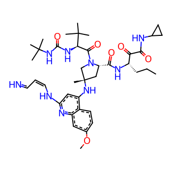 CCC[C@H](NC(=O)[C@@H]1C[C@](C)(Nc2cc(N/C=C\C=N)nc3cc(OC)ccc23)CN1C(=O)[C@@H](NC(=O)NC(C)(C)C)C(C)(C)C)C(=O)C(=O)NC1CC1